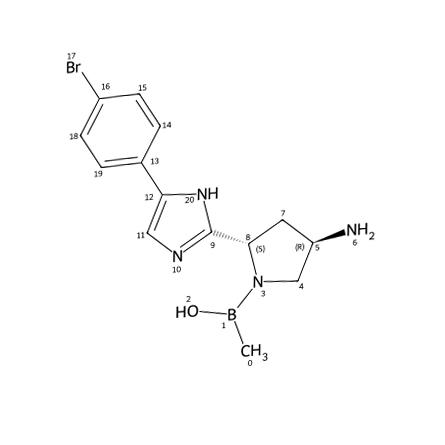 CB(O)N1C[C@H](N)C[C@H]1c1ncc(-c2ccc(Br)cc2)[nH]1